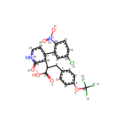 O=C(O)C(Cc1ccc(OC(F)(F)F)cc1)c1c(-c2cc(Cl)ccc2[N+](=O)[O-])cc[nH]c1=O